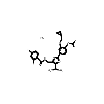 CC(N)c1oc(-c2ccc(OC(F)F)c(OCC3CC3)c2)nc1CNC(=O)c1ccc(F)cc1F.Cl